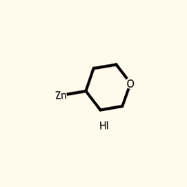 I.[Zn][CH]1CCOCC1